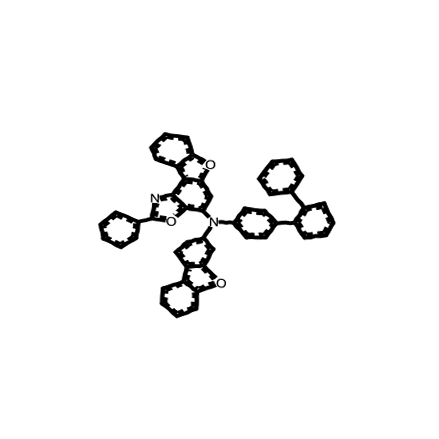 c1ccc(-c2nc3c(o2)c(N(c2ccc(-c4ccccc4-c4ccccc4)cc2)c2ccc4c(c2)oc2ccccc24)cc2oc4ccccc4c23)cc1